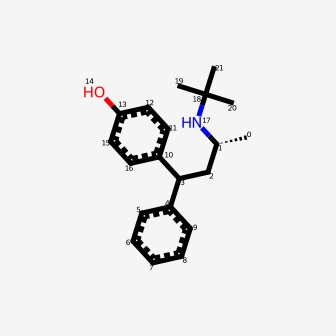 C[C@H](CC(c1ccccc1)c1ccc(O)cc1)NC(C)(C)C